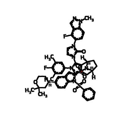 Cc1cc(-n2nc3c(c2-n2ccn(-c4ccc5c(cnn5C)c4F)c2=O)[C@@H]2CC[C@H](C3)N2S(=O)(=O)c2cc3cc([C@H]4CCOC(C)(C)C4)ccc3n2S(=O)(=O)c2ccccc2)cc(C)c1F